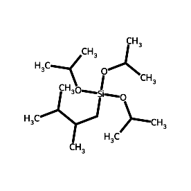 CC(C)O[Si](CC(C)C(C)C)(OC(C)C)OC(C)C